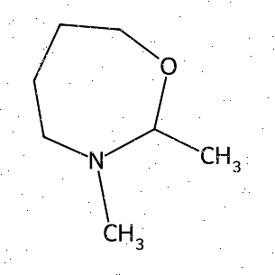 CC1OCCCCN1C